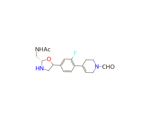 CC(=O)NC[C@H]1NCC(c2ccc(C3=CCN(C=O)CC3)c(F)c2)O1